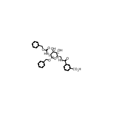 O=C(N[C@H]1[C@@H](OCc2ccccc2)O[C@H](CNC(=O)c2cccc(C(=O)O)c2)[C@@H](O)[C@@H]1O)OCc1ccccc1